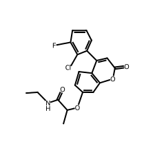 CCNC(=O)C(C)Oc1ccc2c(-c3cccc(F)c3Cl)cc(=O)oc2c1